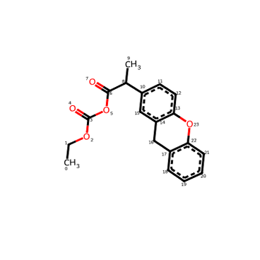 CCOC(=O)OC(=O)C(C)c1ccc2c(c1)Cc1ccccc1O2